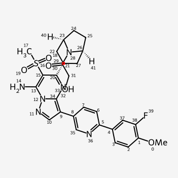 COc1ccc(-c2ccc(-c3cnn4c(N)c(S(C)(=O)=O)c([C@@H]5C[C@H]6CC[C@@H](C5)N6C(=O)CO)nc34)cn2)cc1F